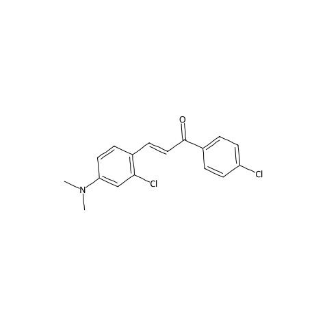 CN(C)c1ccc(/C=C/C(=O)c2ccc(Cl)cc2)c(Cl)c1